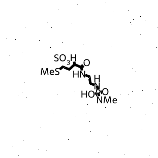 CNP(=O)(O)NCCNC(=O)C(CCSC)S(=O)(=O)O